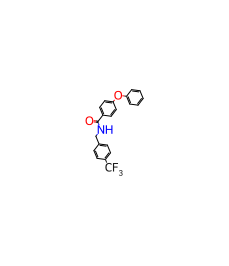 O=C(NCc1ccc(C(F)(F)F)cc1)c1ccc(Oc2ccccc2)cc1